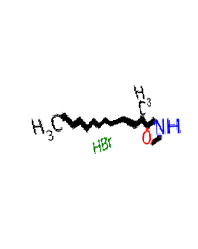 Br.CCCCCCCCCCCC(C)C1CNCCO1